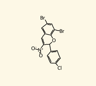 O=[N+]([O-])C1=Cc2cc(Br)cc(Br)c2OC1c1ccc(Cl)cc1